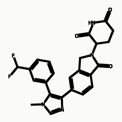 Cn1cnc(-c2ccc3c(c2)CN(C2CCC(=O)NC2=O)C3=O)c1-c1cccc(C(F)F)c1